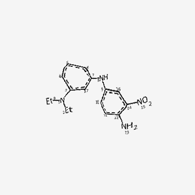 CCN(CC)c1cccc(Nc2ccc(N)c([N+](=O)[O-])c2)c1